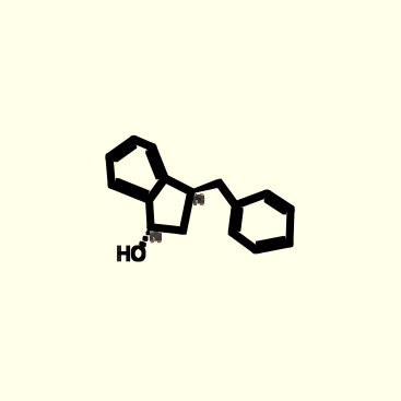 O[C@H]1C[C@H](Cc2ccccc2)c2ccccc21